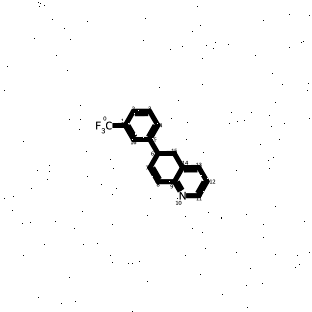 FC(F)(F)c1cccc(C2C=Cc3ncccc3C2)c1